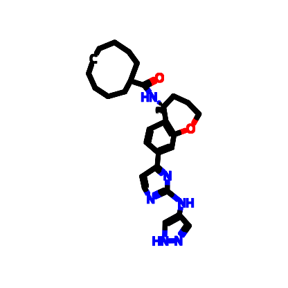 O=C(N[C@@H]1CCCOc2cc(-c3ccnc(Nc4cn[nH]c4)n3)ccc21)C1CCCCCCCCC1